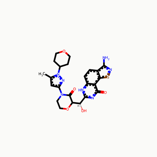 Cc1cc(N2CCOC([C@@H](O)c3nc(=O)c4c(ccc5c(N)nsc54)[nH]3)C2=O)nn1C1CCOCC1